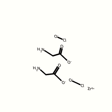 NCC(=O)[O-].NCC(=O)[O-].[O-]Cl.[O-]Cl.[Zr+4]